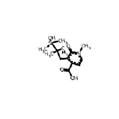 Cn1ccc(C(=O)O)c(CC(C)(C)[Si](C)(C)O)c1=O